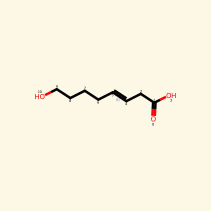 O=C(O)C/C=C/CCCCO